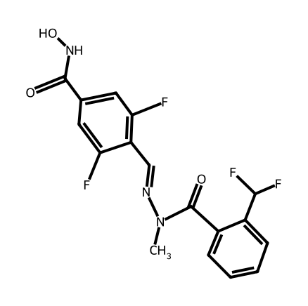 CN(/N=C/c1c(F)cc(C(=O)NO)cc1F)C(=O)c1ccccc1C(F)F